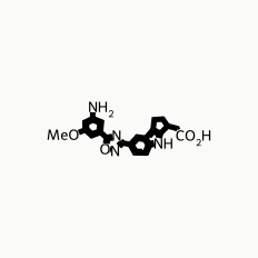 COc1cc(N)cc(-c2nc(-c3ccc4[nH]c5c(c4c3)CCC5CC(=O)O)no2)c1